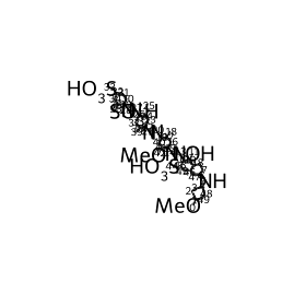 COc1ccc(Nc2ccc3c(O)c(N=Nc4cc(C)c(N=Nc5cc(C)c(N=Nc6ccc(S(=O)(=O)O)cc6S(=O)(=O)O)cc5C)cc4OC)c(S(=O)(=O)O)cc3c2)cc1